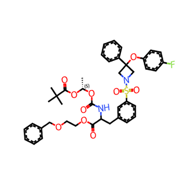 C[C@H](OC(=O)NC(Cc1cccc(S(=O)(=O)N2CC(Oc3ccc(F)cc3)(c3ccccc3)C2)c1)C(=O)OCCOCc1ccccc1)OC(=O)C(C)(C)C